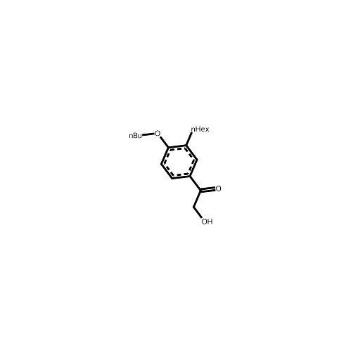 CCCCCCc1cc(C(=O)CO)ccc1OCCCC